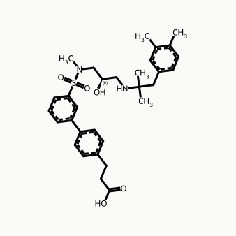 Cc1ccc(CC(C)(C)NC[C@@H](O)CN(C)S(=O)(=O)c2cccc(-c3ccc(CCC(=O)O)cc3)c2)cc1C